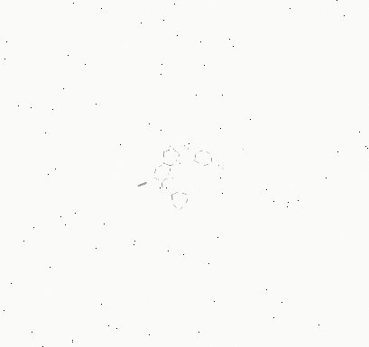 CN(c1ccc(Nc2ncc3cc(C#CC4CCCCC4)c(=O)n(Cc4ccccc4C(F)(F)F)c3n2)cc1)C1CCNCC1